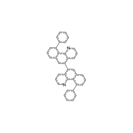 c1ccc(-c2cccc3cc(-c4cc5cccc(-c6ccccc6)c5c5ncccc45)c4cccnc4c23)cc1